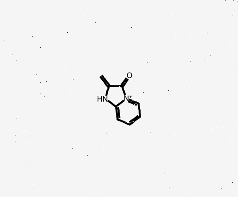 C=C1Nc2cccc[n+]2C1=O